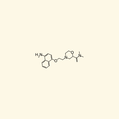 C=C(C1CN(CCOc2ccc(N)c3ccccc23)CCO1)N(C)C